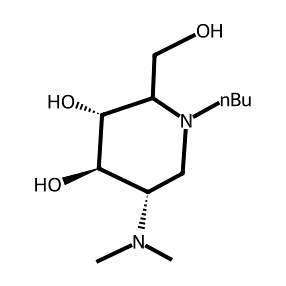 CCCCN1C[C@H](N(C)C)[C@@H](O)[C@H](O)C1CO